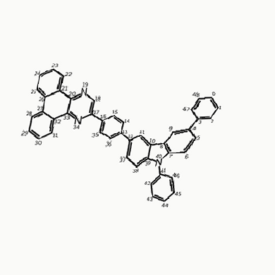 c1ccc(-c2ccc3c(c2)c2cc(-c4ccc(-c5cnc6c7ccccc7c7ccccc7c6n5)cc4)ccc2n3-c2ccccc2)cc1